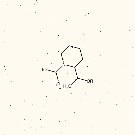 CCC(N)N1CCCCC1C(C)O